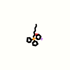 CCCCC[C@H](O)C[P+](c1ccccc1)(c1ccccc1)c1ccccc1.[I-]